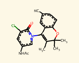 CC(=O)Nc1cc(Cl)c(=O)n(C2=C(C)C(C)(C)Oc3ccc(C#N)cc32)c1